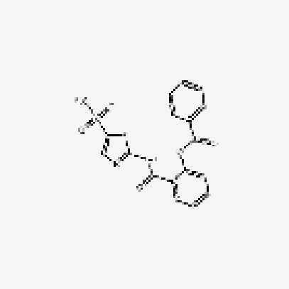 CS(=O)(=O)c1cnc(NC(=O)c2ccccc2OC(=O)c2ccccc2)s1